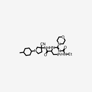 CCNC(=O)N=C(NC(CC(C)C)C(=O)NC1(C#N)CCN(C2CCC(C)CC2)C1)N1CCOCC1